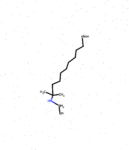 CCCCCCCCCCCCCCCCCC(C)(C)N[SiH2]CCC